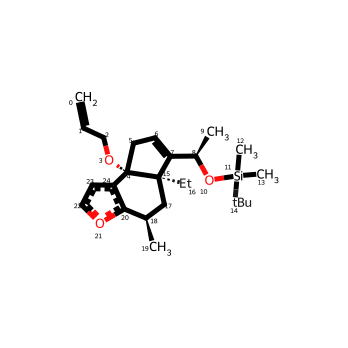 C=CCO[C@]12CC=C([C@@H](C)O[Si](C)(C)C(C)(C)C)[C@@]1(CC)C[C@@H](C)c1occc12